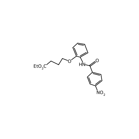 CCOC(=O)CCCOc1ccccc1NC(=O)c1ccc([N+](=O)[O-])cc1